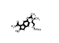 CCCCCCOCCN(C)C(C)=Nc1ccc2c(c1)C(C(N)=O)C(O)C2